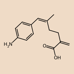 C=C(CCC(C)=Cc1ccc(N)cc1)C(=O)O